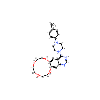 O=[N+]([O-])c1ccc(N2CCN(c3ncnc4cc5c(cc34)OCCOCCOCCO5)CC2)cc1